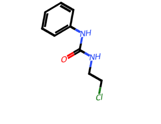 O=C(NCCCl)Nc1ccccc1